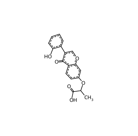 CC(Oc1ccc2c(=O)c(-c3ccccc3O)coc2c1)C(=O)O